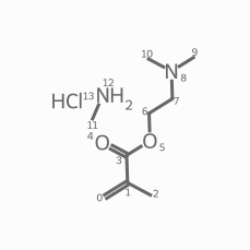 C=C(C)C(=O)OCCN(C)C.CN.Cl